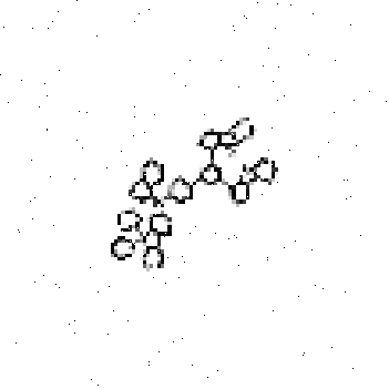 c1ccc(C2(c3ccccc3)c3ccccc3-c3ccc(N(c4ccc(-c5cc(-c6cccc7c6sc6ccccc67)cc(-c6cccc7c6sc6ccccc67)c5)cc4)c4cccc5ccccc45)cc32)cc1